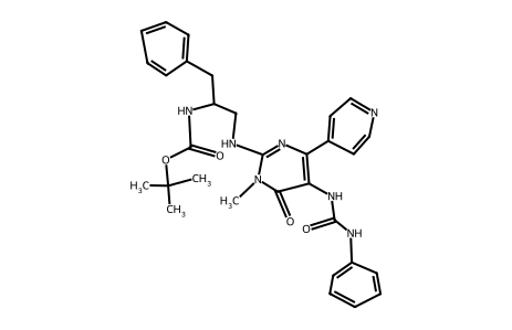 Cn1c(NCC(Cc2ccccc2)NC(=O)OC(C)(C)C)nc(-c2ccncc2)c(NC(=O)Nc2ccccc2)c1=O